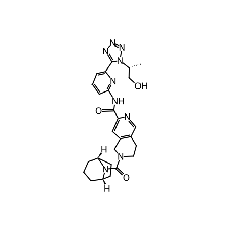 C[C@H](CO)n1nnnc1-c1cccc(NC(=O)c2cc3c(cn2)CCN(C(=O)N2[C@@H]4CCC[C@H]2CC4)C3)n1